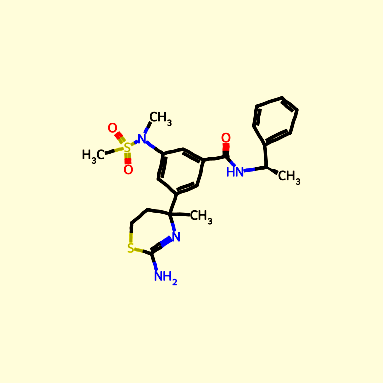 C[C@@H](NC(=O)c1cc(N(C)S(C)(=O)=O)cc(C2(C)CCSC(N)=N2)c1)c1ccccc1